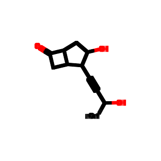 CCCCCCCCC(O)C#CC1C(O)CC2C(=O)CC21